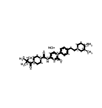 C[C@H]1CN(CCc2ccc(-n3ccc(NC(=O)N4CCN(C(=O)C(C)(C)N)CC4)nc3=O)cc2)CC[C@@H]1N.Cl